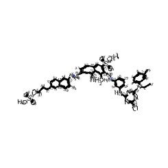 CCN(c1cccc(C)c1)c1nc(Cl)nc(Nc2cccc(/N=N/c3c(S(=O)(=O)O)cc4ccc(/N=N/c5ccc6cc(CCCOS(=O)(=O)O)ccc6c5)c(N)c4c3O)c2)n1